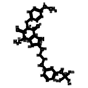 COc1ccc(Cn2c(=O)c3[nH]c(OCCOc4cccc(OC(F)(F)F)c4)nc3n(C)c2=O)cc1